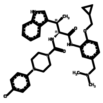 C[C@H](c1c[nH]c2ccccc12)[C@@H](NC(=O)N1CCN(c2ccc(Cl)cc2)CC1)C(=O)Nc1cc(CN(C)C)ccc1OCC1CC1